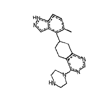 Cc1ccc2[nH]ncc2c1C1CCc2c(ncnc2N2CCNCC2)C1